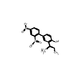 CCC(C)c1cc(-c2ccc([N+](=O)[O-])cc2[N+](=O)[O-])ccc1O